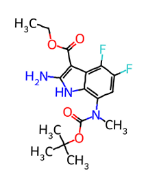 CCOC(=O)c1c(N)[nH]c2c(N(C)C(=O)OC(C)(C)C)cc(F)c(F)c12